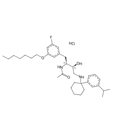 CCCCCCCOc1cc(F)cc(C[C@H](NC(C)=O)[C@@H](O)CNC2(c3cccc(C(C)C)c3)CCCCC2)c1.Cl